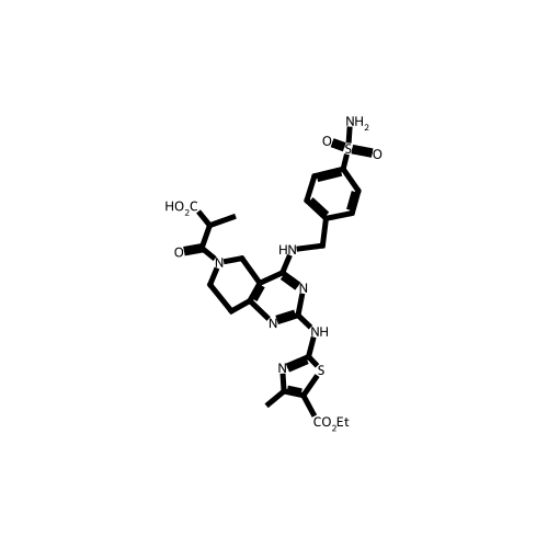 CCOC(=O)c1sc(Nc2nc3c(c(NCc4ccc(S(N)(=O)=O)cc4)n2)CN(C(=O)C(C)C(=O)O)CC3)nc1C